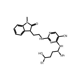 CCC[C@@H](CC[C@H](O)CC)Nc1nc(NCCC2C(=O)N(C)c3ccccc32)ncc1C#N